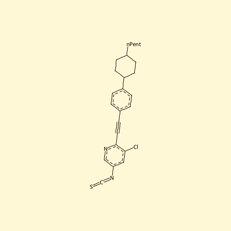 CCCCCC1CCC(c2ccc(C#Cc3ncc(N=C=S)cc3Cl)cc2)CC1